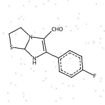 O=CC1=C(c2ccc(F)cc2)NC2SCCN12